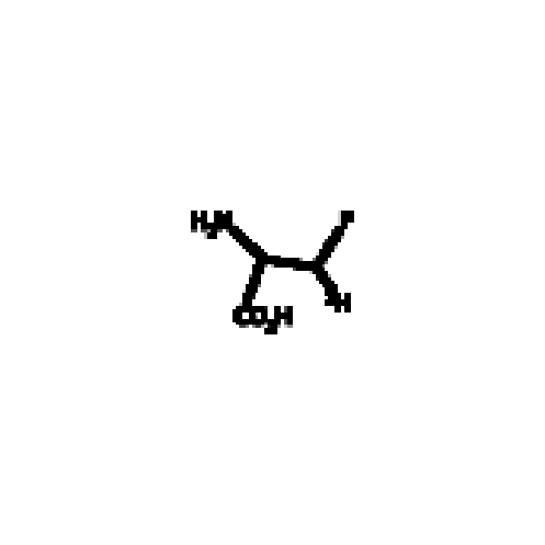 [2H]C(F)C(N)C(=O)O